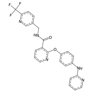 O=C(NCc1ccc(C(F)(F)F)nc1)c1cccnc1Oc1ccc(Nc2ccccn2)cc1